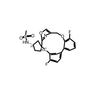 CS(=O)(=O)N[C@H]1CC[C@@]2(Cc3cc(ccc3F)-c3cccc(F)c3OCc3coc2n3)C1